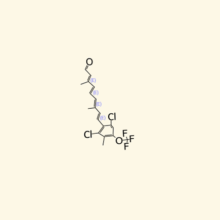 CC(/C=C/C=C(C)/C=C/c1c(Cl)cc(OC(F)(F)F)c(C)c1Cl)=C\C=O